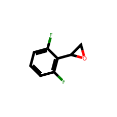 Fc1cccc(F)c1C1CO1